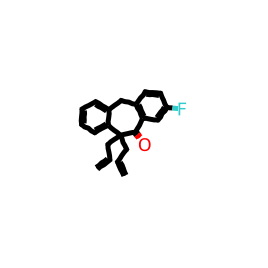 C=CCC1(CC=C)C(=O)c2cc(F)ccc2Cc2ccccc21